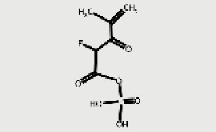 C=C(C)C(=O)C(F)C(=O)OP(=O)(O)O